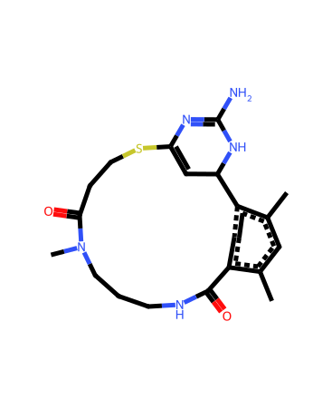 Cc1cc(C)c2cc1C(=O)NCCCN(C)C(=O)CCSC1=CC2NC(N)=N1